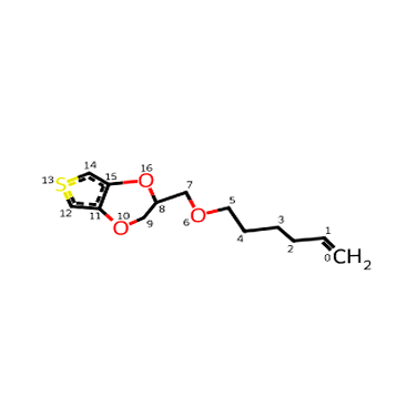 C=CCCCCOCC1COc2cscc2O1